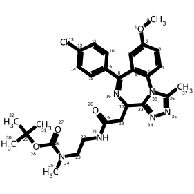 COc1ccc2c(c1)C(c1ccc(Cl)cc1)=NC(CC(=O)NCCN(C)C(=O)OC(C)(C)C)c1nnc(C)n1-2